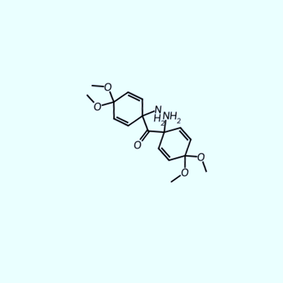 COC1(OC)C=CC(N)(C(=O)C2(N)C=CC(OC)(OC)C=C2)C=C1